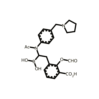 CC(=O)N(c1ccc(CN2CCCC2)cc1)C(Cc1cccc(C(=O)O)c1OC=O)B(O)O